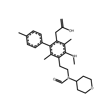 C=C(O)Cc1c(C)c(NC)c(CCN(C=O)C2CCOCC2)c(C)c1-c1ccc(C)cc1